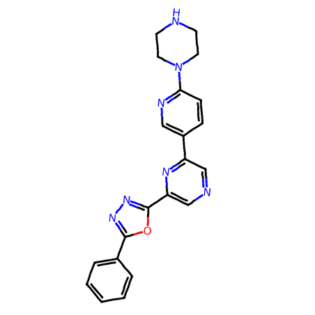 c1ccc(-c2nnc(-c3cncc(-c4ccc(N5CCNCC5)nc4)n3)o2)cc1